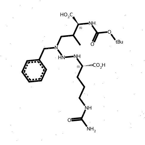 CC(CN(Cc1ccccc1)NN[C@@H](CCCNC(N)=O)C(=O)O)[C@H](NC(=O)OC(C)(C)C)C(=O)O